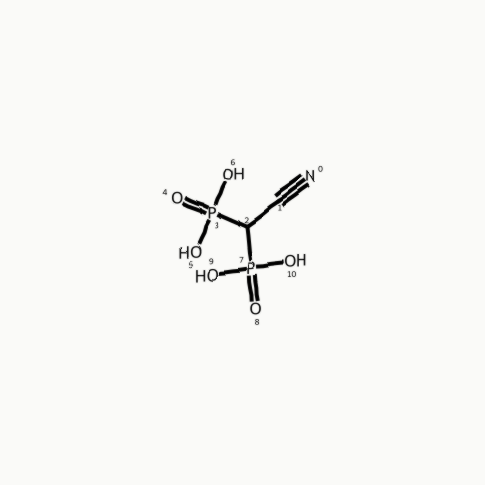 N#CC(P(=O)(O)O)P(=O)(O)O